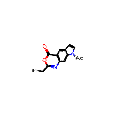 CC(=O)n1ccc2cc3c(=O)oc(CC(C)C)nc3cc21